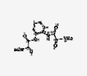 CNC(=O)C(=O)Nc1ccccc1NC(=O)C(=O)NC